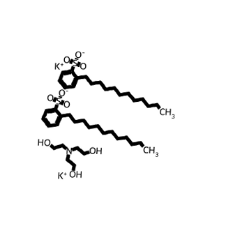 CCCCCCCCCCCCc1ccccc1S(=O)(=O)[O-].CCCCCCCCCCCCc1ccccc1S(=O)(=O)[O-].OCCN(CCO)CCO.[K+].[K+]